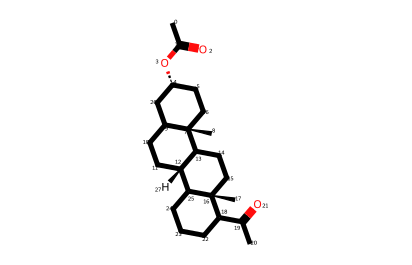 CC(=O)O[C@@H]1CC[C@@]2(C)C(CC[C@@H]3C2CC[C@]2(C)C(C(C)=O)CCCC32)C1